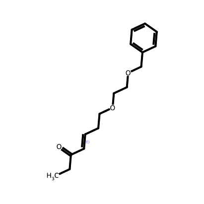 CCC(=O)/C=C/CCOCCOCc1ccccc1